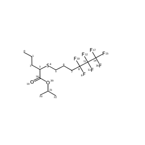 CCCC(SCCCC(F)(F)C(F)(F)C(F)(F)F)C(=O)OC(C)C